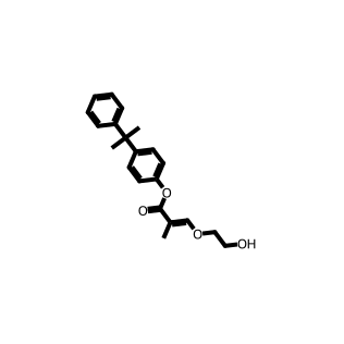 CC(=COCCO)C(=O)Oc1ccc(C(C)(C)c2ccccc2)cc1